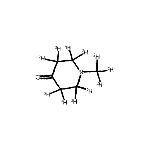 [2H]C([2H])([2H])N1C([2H])([2H])C([2H])([2H])C(=O)C([2H])([2H])C1([2H])[2H]